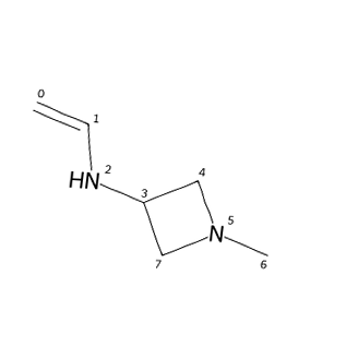 C=CNC1CN(C)C1